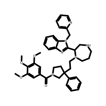 COc1cc(C(=O)N2CCC(CCN3CCCNCC3c3nc4ccccc4n3Cc3ccccn3)(c3ccccc3)C2)cc(OC)c1OC